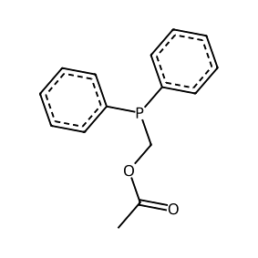 CC(=O)OCP(c1ccccc1)c1ccccc1